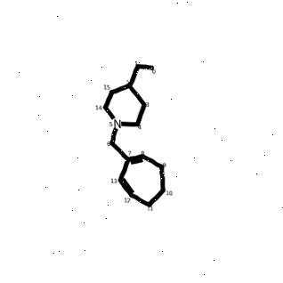 CCC1CCN(CC2=CCCCC=C2)CC1